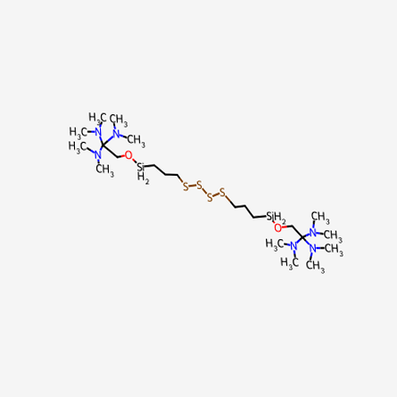 CN(C)C(CO[SiH2]CCCSSSSCCC[SiH2]OCC(N(C)C)(N(C)C)N(C)C)(N(C)C)N(C)C